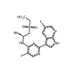 CC(C)(C)[C@@H](CS(=O)(=O)CC(=O)O)Nc1nc(-c2c[nH]c3ncc(F)cc23)ncc1F